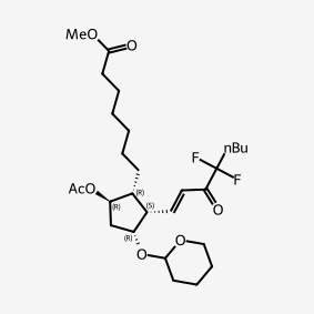 CCCCC(F)(F)C(=O)C=C[C@H]1[C@@H](CCCCCCC(=O)OC)[C@H](OC(C)=O)C[C@H]1OC1CCCCO1